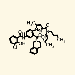 CCCCN(CCCC)C(=O)c1cc(C)n(-c2ccc(NC(=O)c3cccc(Cl)c3O)cc2C(=O)N2Cc3ccccc3C[C@H]2CO)n1